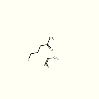 C=CC.CC(=O)CCCI